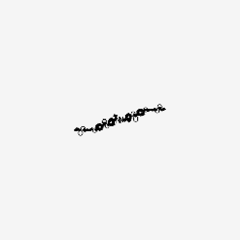 C=CC(=O)OCCCCOc1ccc(C(=O)Oc2ccc(/C=N/N=C(\CC)c3ccc(OC(=O)c4ccc(OCCCCOC(=O)C=C)cc4)cc3)cc2)cc1